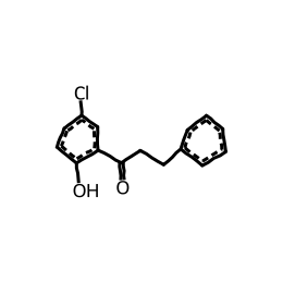 O=C(CCc1ccccc1)c1cc(Cl)ccc1O